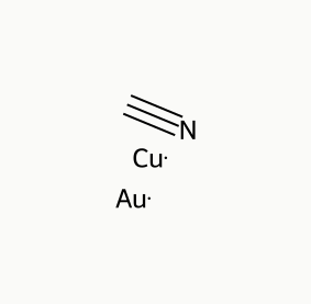 C#N.[Au].[Cu]